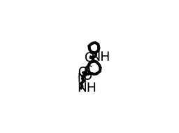 CNCCN(C)C(=O)OC1CCCCCCC(C(=O)NC2CCCCCCCC2)CCC1